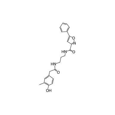 Cc1cc(CC(=O)NCCCNC(=O)c2cc(-c3ccccc3)on2)ccc1O